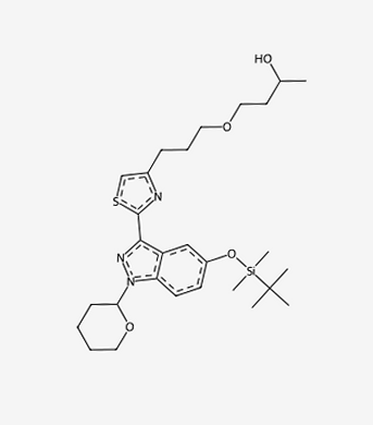 CC(O)CCOCCCc1csc(-c2nn(C3CCCCO3)c3ccc(O[Si](C)(C)C(C)(C)C)cc23)n1